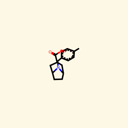 Cc1ccc(CN2C3CCC2CC(C(=O)O)C3)cc1